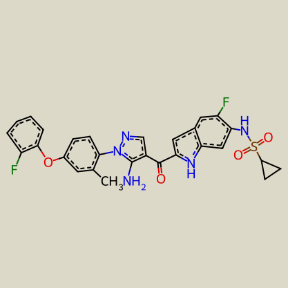 Cc1cc(Oc2ccccc2F)ccc1-n1ncc(C(=O)c2cc3cc(F)c(NS(=O)(=O)C4CC4)cc3[nH]2)c1N